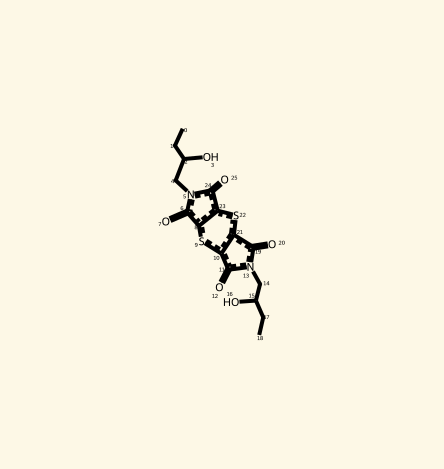 CCC(O)Cn1c(=O)c2sc3c(=O)n(CC(O)CC)c(=O)c3sc2c1=O